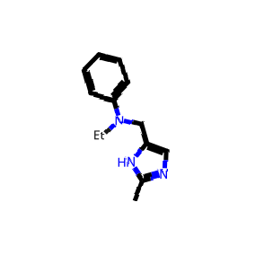 CCN(Cc1cnc(C)[nH]1)c1ccccc1